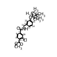 COC(=O)c1ccc(C(=O)NCc2cccc(O[Si](C)(C)C(C)(C)C)c2)cc1Cl